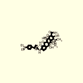 CCN(CC)c1ccc(-c2csc(Nc3ccc4c(c3O)C(=O)C3=C(O)[C@]5(O)C(=O)C(C(N)=O)=C(O)[C@@H](N(C)C)[C@@H]5[C@@H](O)[C@@H]3[C@H]4O)n2)cc1